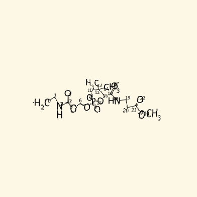 [CH2]CNC(=O)OCO[P@@]1(=O)OCC(C)(C)[C@H](C(=O)NCCC(=O)OC)O1